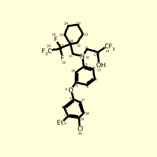 CCc1cc(Oc2cccc(N(CC(O)C(F)(F)F)CC3(C(F)(F)C(F)(F)F)CCCCC3)c2)ccc1Cl